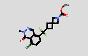 Cn1ncc2c(C(F)(F)C3CC4(C3)CN(C(=O)OC(C)(C)C)C4)ccc(Cl)c2c1=O